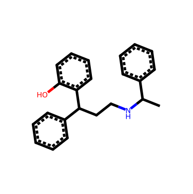 CC(NCCC(c1ccccc1)c1ccccc1O)c1ccccc1